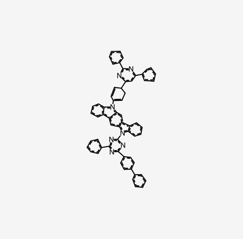 C1=CC(c2cc(-c3ccccc3)nc(-c3ccccc3)n2)CC=C1n1c2ccccc2c2cc3c(cc21)c1ccccc1n3-c1nc(-c2ccccc2)nc(-c2ccc(-c3ccccc3)cc2)n1